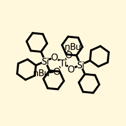 CCCC[O][Ti]([O]CCCC)([O][Si](C1CCCCC1)(C1CCCCC1)C1CCCCC1)[O][Si](C1CCCCC1)(C1CCCCC1)C1CCCCC1